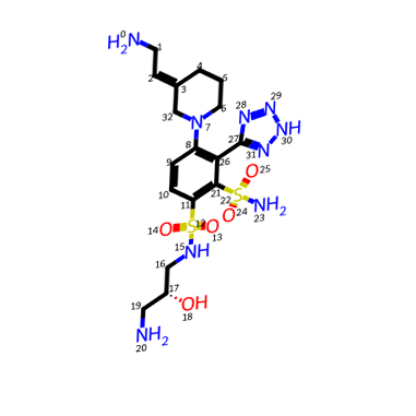 NC/C=C1\CCCN(c2ccc(S(=O)(=O)NC[C@H](O)CN)c(S(N)(=O)=O)c2-c2nn[nH]n2)C1